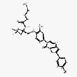 COc1cc(-n2cnc3cc(-c4ccc(Cl)cc4)sc3c2=O)ccc1OCC1(OC(=O)CCCC=O)CC(F)(F)C1